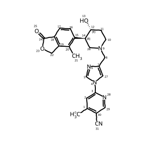 Cc1cc(-n2cnc(CN3CC[C@@H](O)[C@H](c4ccc5c(c4C)COC5=O)C3)c2)ncc1C#N